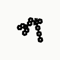 c1ccc(-c2ccc(-c3ccc(-c4nc(-c5cccc6cc(-n7c8ccc9ccccc9c8c8c9ccccc9ccc87)ccc56)nc5ccccc45)cc3)cc2)cc1